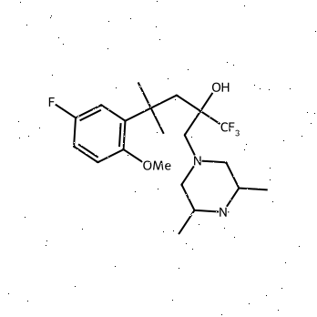 COc1ccc(F)cc1C(C)(C)CC(O)(CN1CC(C)[N]C(C)C1)C(F)(F)F